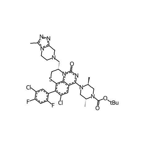 Cc1nnc2n1CCN(C[C@H]1CSc3c(-c4cc(Cl)c(F)cc4F)c(Cl)cc4c(N5C[C@@H](C)N(C(=O)OC(C)(C)C)C[C@@H]5C)nc(=O)n1c34)C2